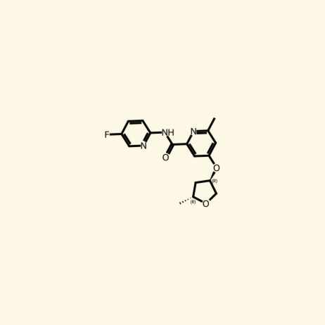 Cc1cc(O[C@H]2CO[C@H](C)C2)cc(C(=O)Nc2ccc(F)cn2)n1